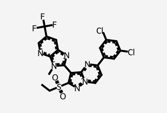 CCS(=O)(=O)c1nn2ccc(-c3cc(Cl)cc(Cl)c3)nc2c1-c1nc2cc(C(F)(F)F)cnc2n1C